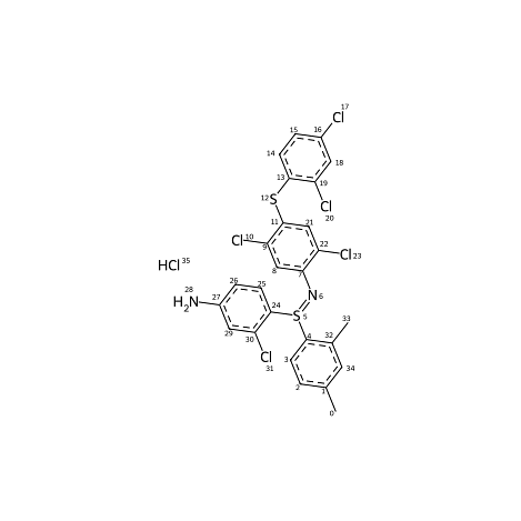 Cc1ccc(S(=Nc2cc(Cl)c(Sc3ccc(Cl)cc3Cl)cc2Cl)c2ccc(N)cc2Cl)c(C)c1.Cl